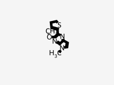 COc1nc2c(ccn2C)nc1C1=CCCS1